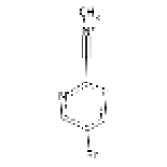 C[N+]#Cc1ccc(Br)cn1